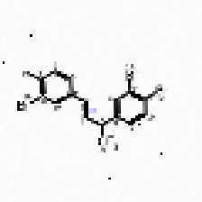 Cc1ccc(/C=C/C(c2ccc(Br)c(Br)c2)C(F)(F)F)cc1Br